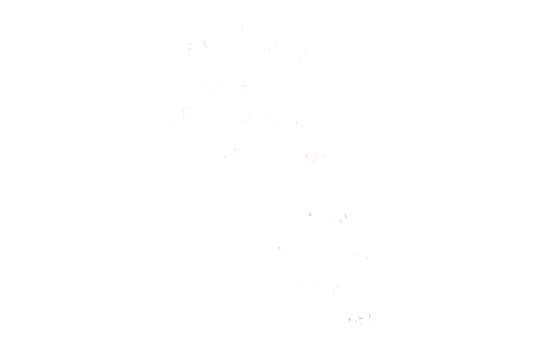 CCCC1CCC(COc2ccc(C)c(C(F)F)c2F)CC1